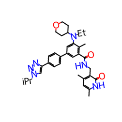 CCN(c1cc(-c2ccc(-c3cn(C(C)C)nn3)cc2)cc(C(=O)NCc2c(C)cc(C)[nH]c2=O)c1C)C1CCOCC1